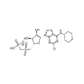 O=P(O)(O)CS(=O)(=O)C[C@H]1O[C@@H](n2ccc3c(NC4CCCCC4)nc(Cl)nc32)[C@H](O)[C@@H]1O